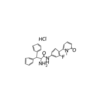 Cl.Cn1c(-c2ccc(NC(=O)C(N)C(c3ccccc3)c3ccccc3)cc2F)cccc1=O